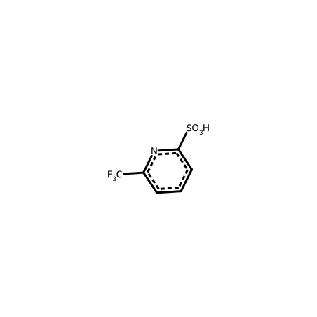 O=S(=O)(O)c1cccc(C(F)(F)F)n1